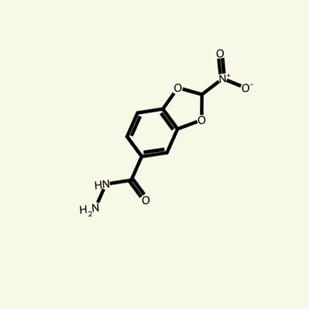 NNC(=O)c1ccc2c(c1)OC([N+](=O)[O-])O2